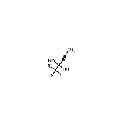 CC#CC(O)(O)C(F)(F)F